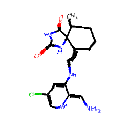 CC1CCC/C(=C\NC2=CC(Cl)=CN/C2=C\N)C12NC(=O)NC2=O